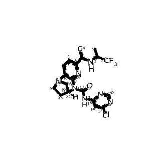 CC(NC(=O)c1ccc2c(n1)N(C(=O)Nc1cc(Cl)ncn1)[C@H]1CCN2C1)C(F)(F)F